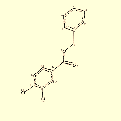 O=C(OCc1ccccc1)c1ccc(Cl)c(Cl)n1